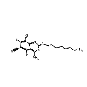 CCCCCCCCSc1nc(N)c2c(F)c(C#N)c(F)c(Cl)c2n1